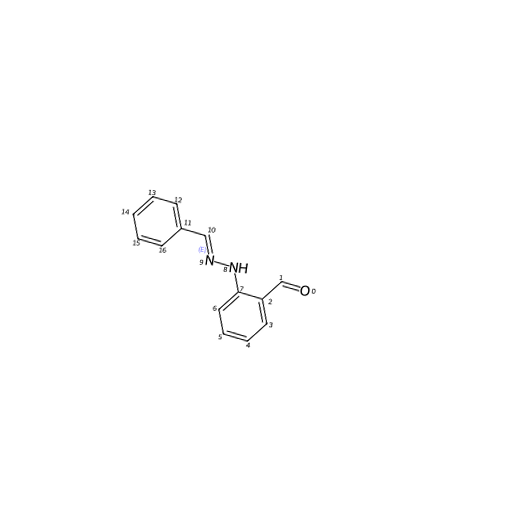 O=Cc1ccccc1N/N=C/c1ccccc1